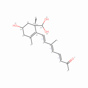 CC(=O)/C=C/C=C(C)/C=C/C1=C(C)CC(O)C[C@]1(C)C(O)O